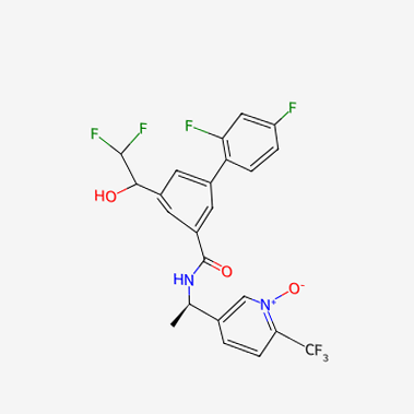 C[C@@H](NC(=O)c1cc(-c2ccc(F)cc2F)cc(C(O)C(F)F)c1)c1ccc(C(F)(F)F)[n+]([O-])c1